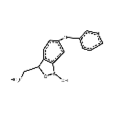 O=C(O)CC1OB(O)c2cc(Oc3cccnc3)ccc21